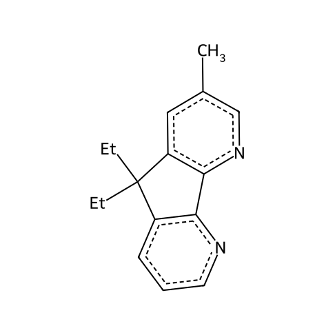 CCC1(CC)c2cccnc2-c2ncc(C)cc21